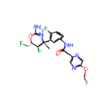 C[C@]1(c2cc(NC(=O)c3cnc(OCF)cn3)ccc2F)N=C(N)O[C@@H](CF)[C@@H]1F